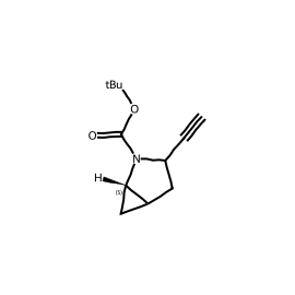 C#CC1CC2C[C@@H]2N1C(=O)OC(C)(C)C